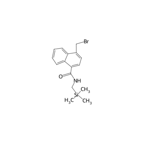 C[Si](C)(C)CNC(=O)c1ccc(CBr)c2ccccc12